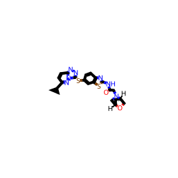 O=C(CN1C[C@@H]2C[C@H]1CO2)Nc1nc2ccc(Sc3nnc4ccc(C5CC5)nn34)cc2s1